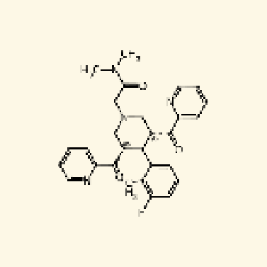 Cc1c(F)cccc1C1[C@@H](C(=O)c2ccccn2)CN(CC(=O)N(C)C)C[C@@H]1C(=O)c1ccccn1